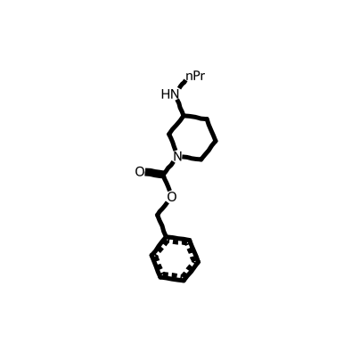 CCCNC1CCCN(C(=O)OCc2ccccc2)C1